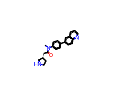 CN(C(=O)C[C@@H]1CCNC1)c1ccc(-c2ccc3ncccc3c2)cc1